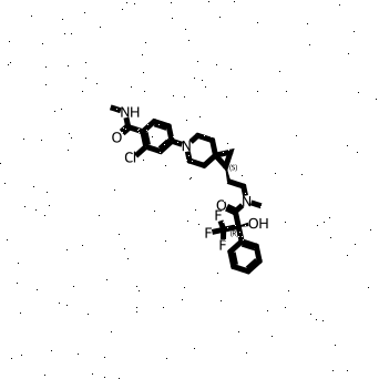 CNC(=O)c1ccc(N2CCC3(CC2)C[C@H]3CCN(C)C(=O)[C@](O)(c2ccccc2)C(F)(F)F)cc1Cl